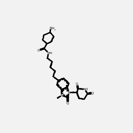 Cn1c(=O)n(C2CCC(=O)NC2=O)c2ccc(CCCCCNC(=O)C3CCC(N)CC3)cc21